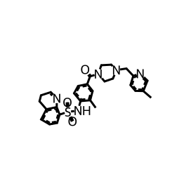 Cc1ccc(CN2CCN(C(=O)c3ccc(NS(=O)(=O)c4cccc5c4N=CCC5)c(C)c3)CC2)nc1